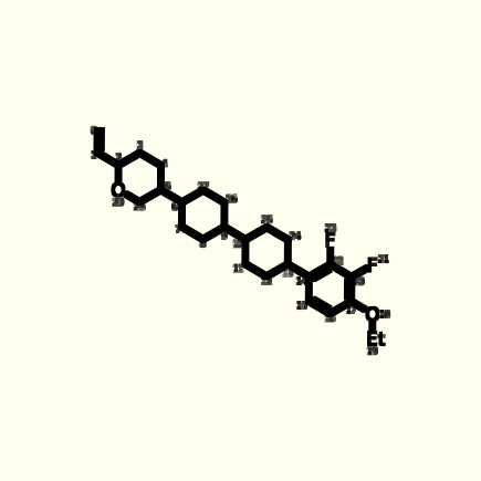 C=CC1CCC(C2CCC(C3CCC(c4ccc(OCC)c(F)c4F)CC3)CC2)CO1